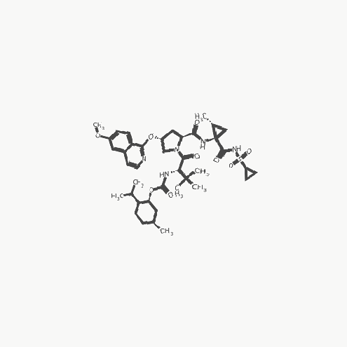 COc1ccc2c(O[C@@H]3C[C@@H](C(=O)N[C@]4(C(=O)NS(=O)(=O)C5CC5)C[C@H]4C)N(C(=O)[C@@H](NC(=O)O[C@H]4C[C@@H](C)CCC4C(C)C)C(C)(C)C)C3)nccc2c1